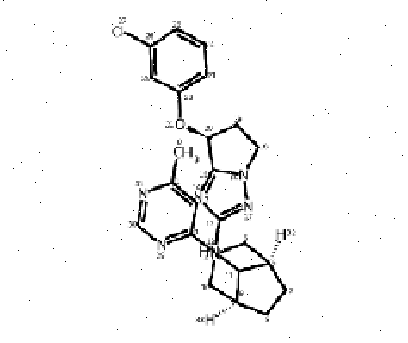 Cc1cc(N2C[C@H]3CC[C@@H](C2)C3Nc2nc3n(n2)CC[C@@H]3Oc2cccc(Cl)c2)ncn1